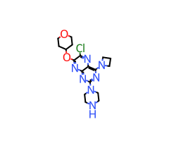 Clc1nc2c(N3CCC3)nc(N3CCNCC3)nc2nc1OC1CCOCC1